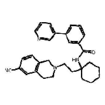 N#Cc1ccc2c(c1)CCN(CCC1(NC(=O)c3cccc(-c4cccnc4)c3)CCCCC1)C2